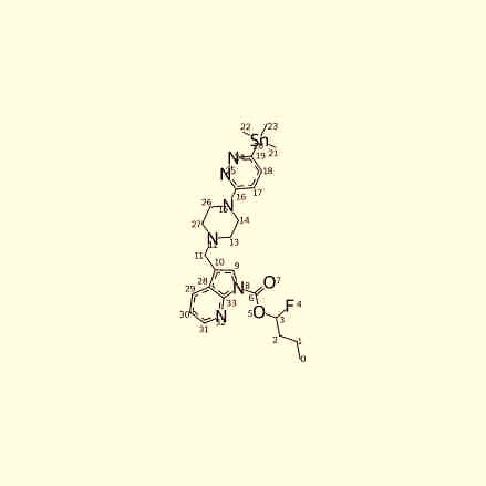 CCCC(F)OC(=O)n1cc(CN2CCN(c3cc[c]([Sn]([CH3])([CH3])[CH3])nn3)CC2)c2cccnc21